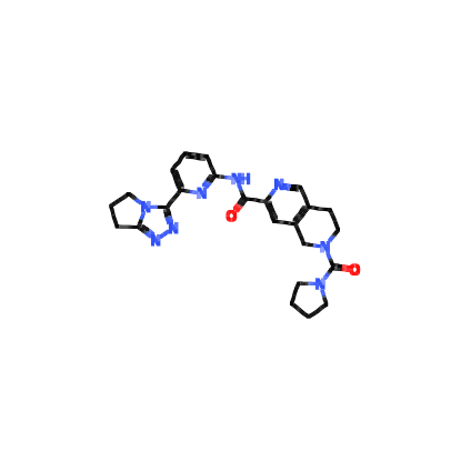 O=C(Nc1cccc(-c2nnc3n2CCC3)n1)c1cc2c(cn1)CCN(C(=O)N1CCCC1)C2